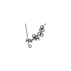 CCCCCCCCCCCCCCC(CNCCNC(=O)OCCOC(=O)C(C)=C1CC1(C)C(=O)OCCCC)Cc1ccccc1